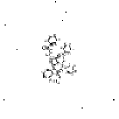 Nc1ncnc2c1c(I)cn2[C@@H]1O[C@H](COC(=O)c2ccccc2)[C@@H](OC(=O)c2ccccc2)[C@H]1OC(=O)c1ccccc1